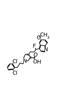 COc1ccc2nccc(C(F)CC[C@@H]3CCN(CCCc4c(Cl)cccc4Cl)C[C@@H]3C(=O)O)c2c1